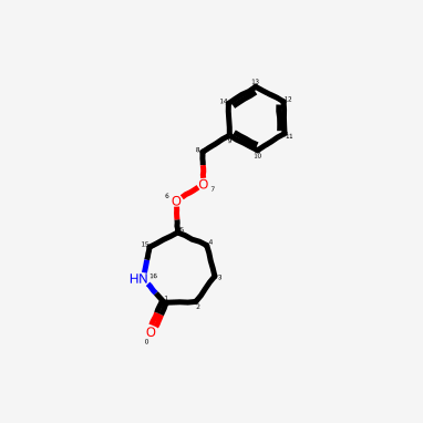 O=C1CCCC(OOCc2ccccc2)CN1